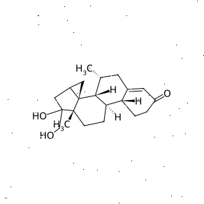 C[C@@H]1CC2=CC(=O)CC[C@@H]2[C@H]2CC[C@]3(C)C(O)(CO)CC4C[C@]43[C@@H]21